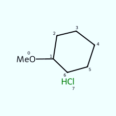 COC1CCCCC1.Cl